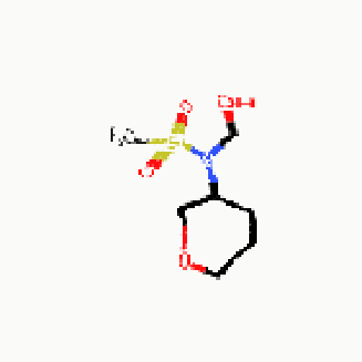 O=S(=O)(N(CO)C1CCCOC1)C(F)(F)F